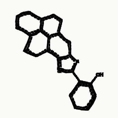 Oc1ccccc1-c1nc2cc3ccc4cccc5ccc(c2s1)c3c45